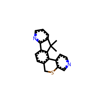 CC1(C)c2cccnc2-c2ccc3c(c21)-c1ccncc1SC3